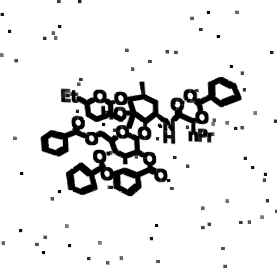 CCC[C@H](OC(=O)c1ccccc1)C(=O)N[C@@H]1C[C@H](C)C(O[C@H]2OC(CC)CCC2C)C(C)(O)[C@H]1O[C@H]1OC(COC(=O)c2ccccc2)[C@@H](OC(=O)c2ccccc2)[C@H](C)C1OC(=O)c1ccccc1